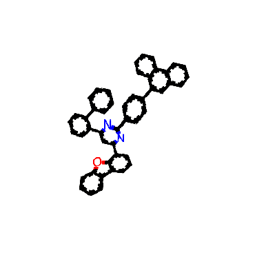 c1ccc(-c2ccccc2-c2cc(-c3cccc4c3oc3ccccc34)nc(-c3ccc(-c4cc5ccccc5c5ccccc45)cc3)n2)cc1